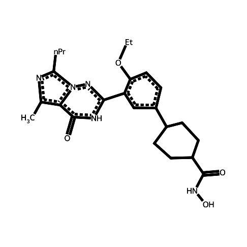 CCCc1nc(C)c2c(=O)[nH]c(-c3cc(C4CCC(C(=O)NO)CC4)ccc3OCC)nn12